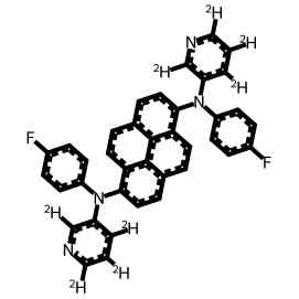 [2H]c1nc([2H])c(N(c2ccc(F)cc2)c2ccc3ccc4c(N(c5ccc(F)cc5)c5c([2H])nc([2H])c([2H])c5[2H])ccc5ccc2c3c54)c([2H])c1[2H]